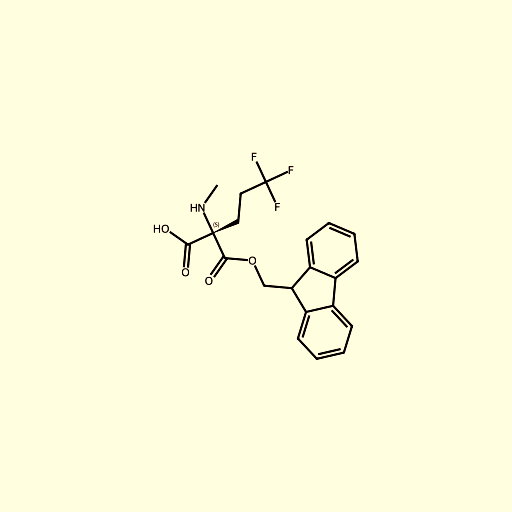 CN[C@@](CCC(F)(F)F)(C(=O)O)C(=O)OCC1c2ccccc2-c2ccccc21